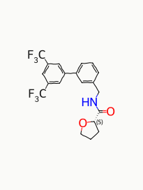 O=C(NCc1cccc(-c2cc(C(F)(F)F)cc(C(F)(F)F)c2)c1)[C@@H]1CCCO1